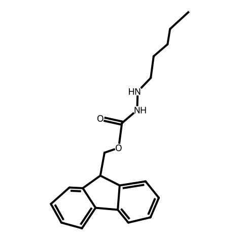 CCCCCNNC(=O)OCC1c2ccccc2-c2ccccc21